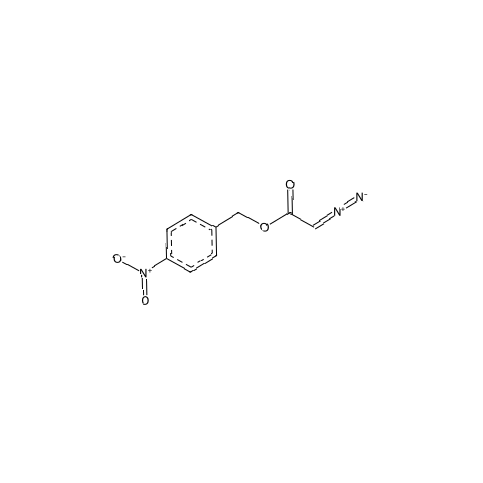 [N-]=[N+]=CC(=O)OCc1ccc([N+](=O)[O-])cc1